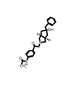 CC(=O)Nc1ccc(C(=O)CN2C[C@@H]3C[C@](O)(Cc4ccccc4)C[C@@H]3C2)cc1